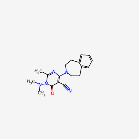 Cc1nc(N2CCc3ccccc3CC2)c(C#N)c(=O)n1N(C)C